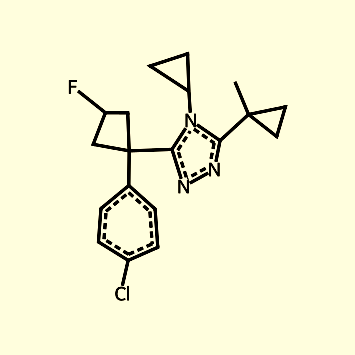 CC1(c2nnc(C3(c4ccc(Cl)cc4)CC(F)C3)n2C2CC2)CC1